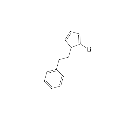 [Li][C]1=CC=CC1CCc1ccccc1